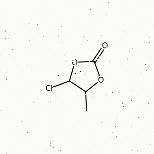 CC1OC(=O)OC1Cl